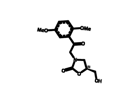 COc1ccc(OC)c(C(=O)CN2C[C@@H](CO)OC2=O)c1